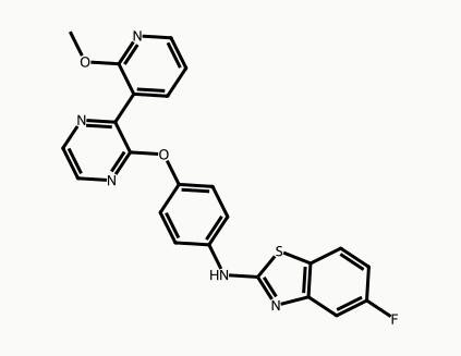 COc1ncccc1-c1nccnc1Oc1ccc(Nc2nc3cc(F)ccc3s2)cc1